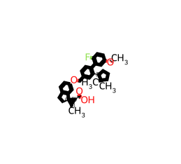 COc1ccc(F)c(-c2ccc(COc3ccc4c(c3)[C@]3(CC4)[C@H](C(=O)O)[C@@H]3C)cc2[C@@H]2CCCC2(C)C)c1